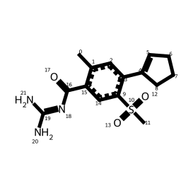 Cc1cc(C2=CCCC2)c(S(C)(=O)=O)cc1C(=O)N=C(N)N